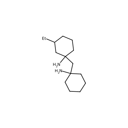 CCC1CCCC(N)(CC2(N)CCCCC2)C1